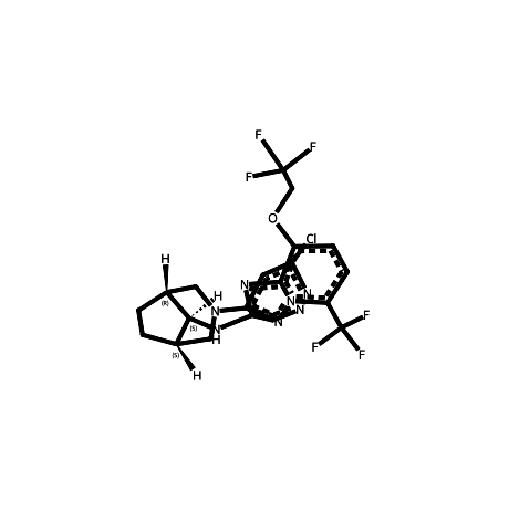 FC(F)(F)COc1ccc(C(F)(F)F)n2nc(N[C@@H]3[C@@H]4CC[C@H]3CN(c3cnnc(Cl)c3)C4)nc12